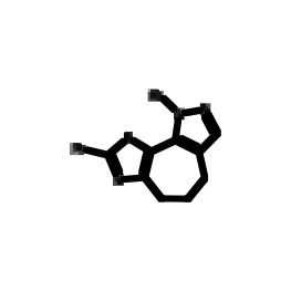 CC(C)c1nc2c(s1)-c1c(cnn1C(C)C)CCC2